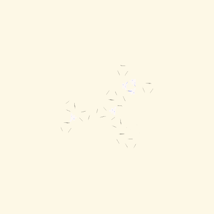 CC1(C)c2cc3c(cc2-c2ccc4ccccc4c21)c1cc(-c2ccc4c(c2)c2ccccc2n4-c2ccccc2)ccc1n3-c1ccc(-c2nc(-c3ccccc3)nc(-c3ccccc3)n2)c2ccccc12